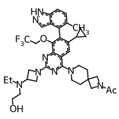 CCN(CCO)C1CN(c2nc(N3CCC4(CC3)CN(C(C)=O)C4)c3cc(C4CC4)c(-c4c(C)ccc5[nH]ncc45)c(OCC(F)(F)F)c3n2)C1